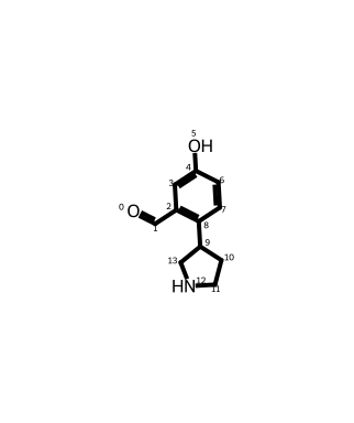 O=Cc1cc(O)ccc1C1CCNC1